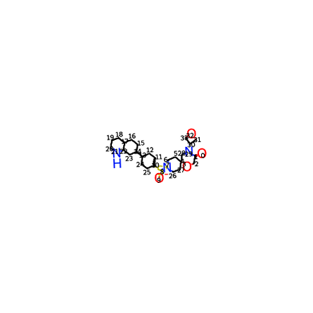 O=C1COC2(CCN([S+]([O-])C3=CCC(C4CCC5CCCNC5C4)CC3)CC2)CN1C1COC1